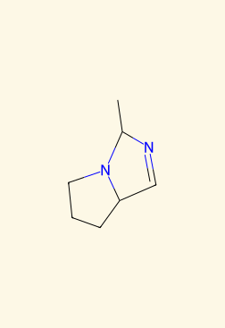 CC1N=CC2CCCN21